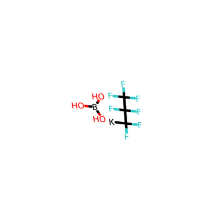 FC(F)(F)C(F)(F)[C](F)(F)[K].OB(O)O